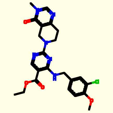 CCOC(=O)c1cnc(N2CCc3ncn(C)c(=O)c3C2)nc1NCc1ccc(OC)c(Cl)c1